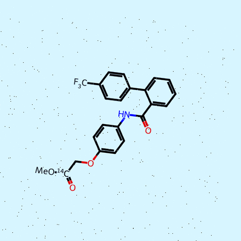 CO[14C](=O)COc1ccc(NC(=O)c2ccccc2-c2ccc(C(F)(F)F)cc2)cc1